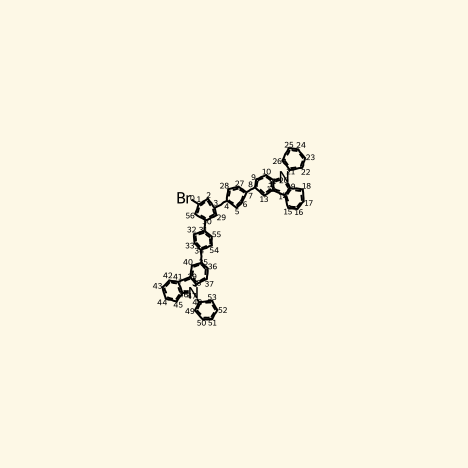 Brc1cc(-c2ccc(-c3ccc4c(c3)c3ccccc3n4-c3ccccc3)cc2)cc(-c2ccc(-c3ccc4c(c3)c3ccccc3n4-c3ccccc3)cc2)c1